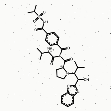 CC(C)C(C(O)c1nc2ccccc2o1)N1CCC[C@H]1C(=O)N(C(=O)c1ccc(C(=O)NS(=O)(=O)C(C)C)cc1)C(=O)[C@@H](N)C(C)C